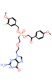 COc1ccc(C(=O)COP(=O)(CCOCCn2cnc3c(=O)[nH]c(N)nc32)OCc2ccc(OC)c(F)c2)cc1